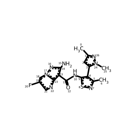 Cc1cc(-c2c(C)nsc2NC(=O)c2c(N)nn3cc(F)cnc23)n(C)n1